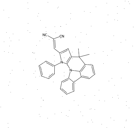 CC1(C)c2cc(C=C(C#N)C#N)n(-c3ccccc3)c2-n2c3ccccc3c3cccc1c32